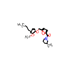 CCCc1ccc(OCc2ccc(C(=O)N3CCCC(C)C3)o2)c(OC)c1